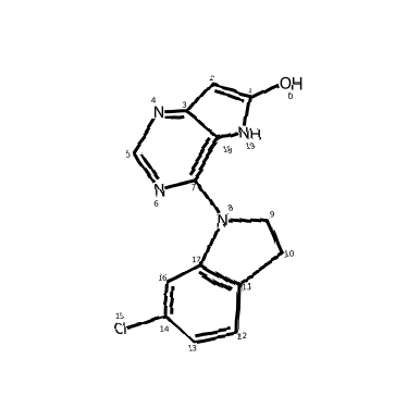 Oc1cc2ncnc(N3CCc4ccc(Cl)cc43)c2[nH]1